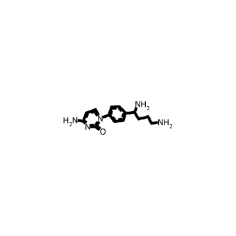 NCCCC(N)c1ccc(-n2ccc(N)nc2=O)cc1